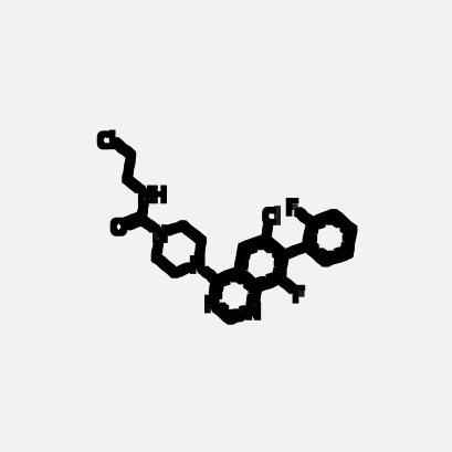 O=C(NCCCl)N1CCN(c2ncnc3c(F)c(-c4ccccc4F)c(Cl)cc23)CC1